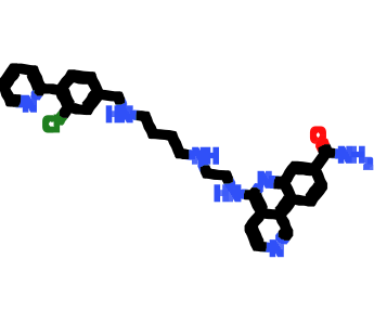 NC(=O)c1ccc2c(c1)nc(NCCNCCCCNCc1ccc(-c3ccccn3)c(Cl)c1)c1ccncc12